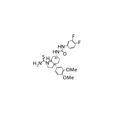 COc1ccc([C@@]23CC[C@@H](NC(=O)Nc4ccc(F)c(F)c4)C[C@@H]2N(C(N)=S)CC3)cc1OC